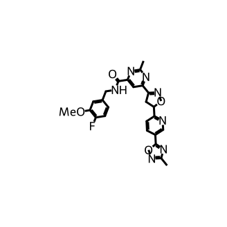 COc1cc(CNC(=O)c2cc(C3=NOC(c4ccc(-c5nc(C)no5)cn4)C3)nc(C)n2)ccc1F